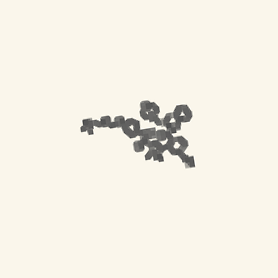 Cc1c(C(=O)Nc2ccc(OCOCC[Si](C)(C)C)cc2)cc(-c2cc(C#N)ccc2C(=O)N2Cc3ccccc3C[C@H]2CN2CCOCC2)n1C